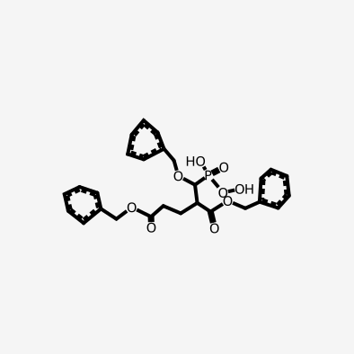 O=C(CCC(C(=O)OCc1ccccc1)C(OCc1ccccc1)P(=O)(O)OO)OCc1ccccc1